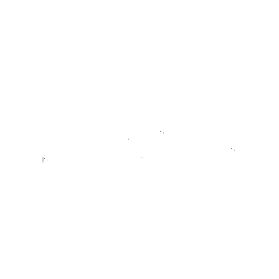 CC1(C)NS(=O)(=O)c2cc(N3C(=O)N(Cc4ccnc5ccccc45)C(C)(C)C3=O)ccc21